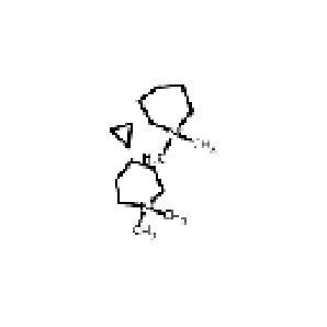 C1CC1.C[N+]1(C)CCCCC1.C[N+]1(C)CCCCC1